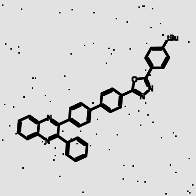 CC(C)(C)c1ccc(-c2nnc(-c3ccc(-c4ccc(-c5nc6ccccc6nc5-c5ccccc5)cc4)cc3)o2)cc1